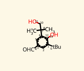 CC(C)(C)c1cc(C=O)cc(C(C)(C)CO)c1O